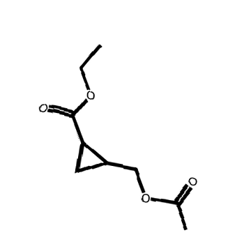 CCOC(=O)C1CC1COC(C)=O